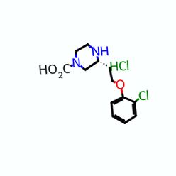 Cl.O=C(O)N1CCN[C@H](CCOc2ccccc2Cl)C1